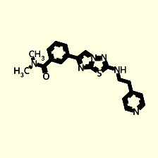 CN(C)C(=O)c1cccc(-c2cn3nc(NCCc4ccncc4)sc3n2)c1